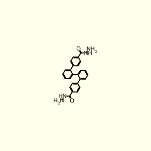 NNC(=O)c1ccc(-c2ccccc2-c2ccccc2-c2ccc(C(=O)NN)cc2)cc1